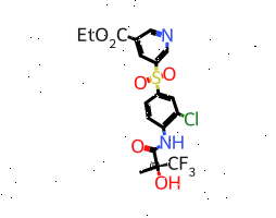 CCOC(=O)c1cncc(S(=O)(=O)c2ccc(NC(=O)[C@@](C)(O)C(F)(F)F)c(Cl)c2)c1